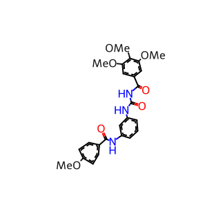 COc1ccc(C(=O)Nc2cccc(NC(=O)NC(=O)c3cc(OC)c(OC)c(OC)c3)c2)cc1